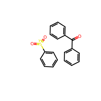 O=C(c1ccccc1)c1ccccc1.O=[SH](=O)c1ccccc1